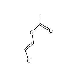 CC(=O)O/C=C/Cl